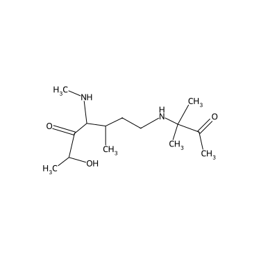 CNC(C(=O)C(C)O)C(C)CCNC(C)(C)C(C)=O